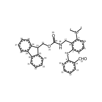 CN(C)c1nccc(Sc2ncccc2C=O)c1CNC(=O)OCC1c2ccccc2-c2ccccc21